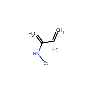 C=CC(=C)NCC.Cl